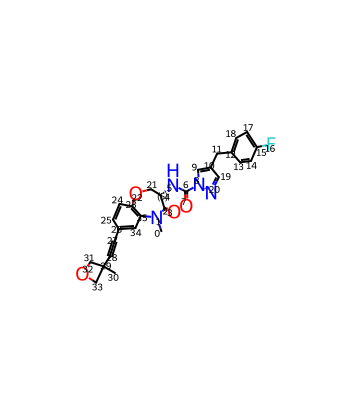 CN1C(=O)[C@@H](NC(=O)n2cc(Cc3ccc(F)cc3)cn2)COc2ccc(C#CC3(C)COC3)cc21